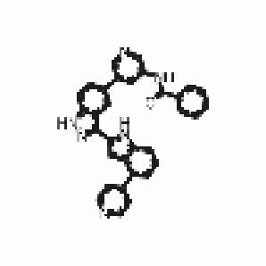 O=C(Nc1cncc(-c2ccc3[nH]nc(-c4cc5c(-c6ccncc6)cccc5[nH]4)c3c2)c1)c1ccccc1